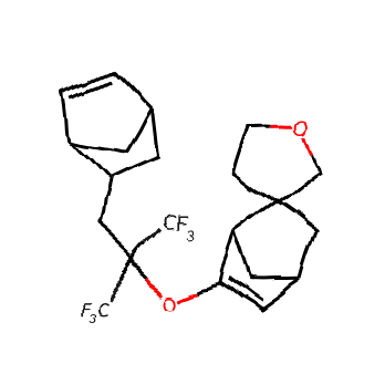 FC(F)(F)C(CC1CC2C=CC1C2)(OC1=CC2CC1C1(CCOC1)C2)C(F)(F)F